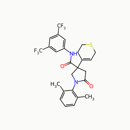 Cc1cccc(C)c1N1CC(C(=O)Nc2cc(C(F)(F)F)cc(C(F)(F)F)c2)(C2=CCSCC2)CC1=O